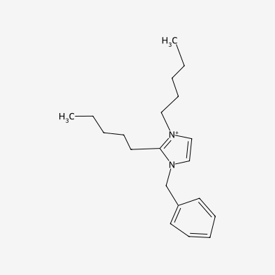 CCCCCc1n(Cc2ccccc2)cc[n+]1CCCCC